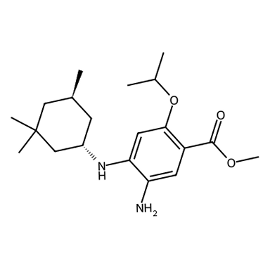 COC(=O)c1cc(N)c(N[C@H]2C[C@H](C)CC(C)(C)C2)cc1OC(C)C